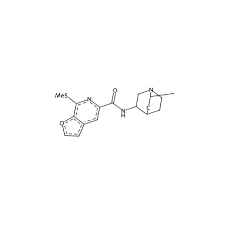 CSc1nc(C(=O)NC2CN3CCC2CC3C)cc2ccoc12